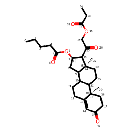 CCCCC(=O)O[C@@H]1CC2C3CCC4=CC(=O)CC[C@]4(C)C3CC[C@]2(C)C1C(=O)COC(=O)CC